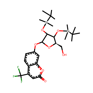 CC(C)(C)[Si](C)(C)OC1C(Oc2ccc3c(C(F)(F)F)cc(=O)oc3c2)O[C@H](CO)C1O[Si](C)(C)C(C)(C)C